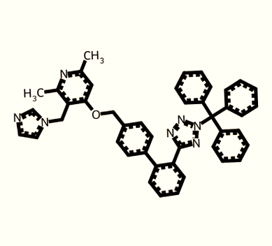 Cc1cc(OCc2ccc(-c3ccccc3-c3nnn(C(c4ccccc4)(c4ccccc4)c4ccccc4)n3)cc2)c(Cn2ccnc2)c(C)n1